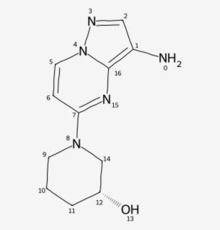 Nc1cnn2ccc(N3CCC[C@@H](O)C3)nc12